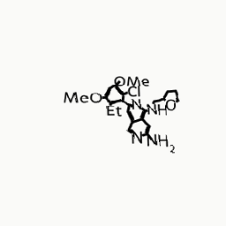 CCc1c(OC)cc(OC)c(Cl)c1-c1cc2cnc(N)cc2c(NCC2CCCO2)n1